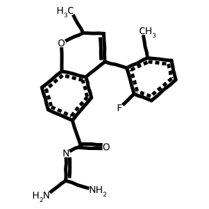 Cc1cccc(F)c1C1=CC(C)Oc2ccc(C(=O)N=C(N)N)cc21